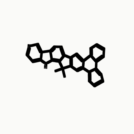 CC1(C)c2cc3c4ccccc4c4ccccc4c3cc2-c2ccc3c([nH]c4ccncc43)c21